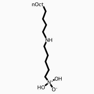 CCCCCCCCCCCCNCCCCC[N+]([O-])(O)O